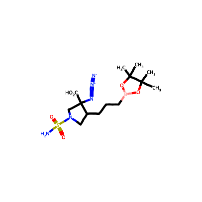 CC1(C)OB(CCCC2CN(S(N)(=O)=O)CC2(N=[N+]=[N-])C(=O)O)OC1(C)C